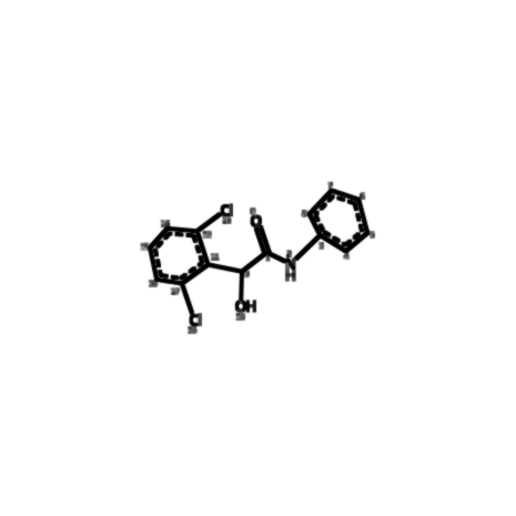 O=C(Nc1ccccc1)C(O)c1c(Cl)cccc1Cl